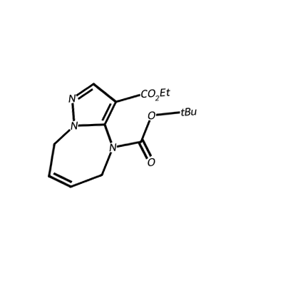 CCOC(=O)c1cnn2c1N(C(=O)OC(C)(C)C)CC=CC2